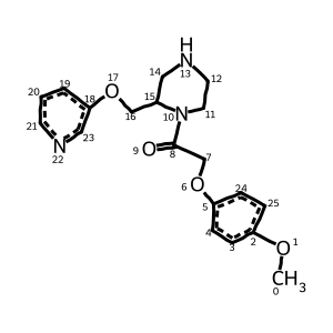 COc1ccc(OCC(=O)N2CCNCC2COc2cccnc2)cc1